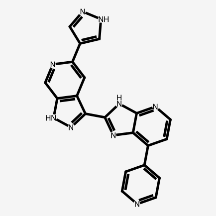 c1cc(-c2ccnc3[nH]c(-c4n[nH]c5cnc(-c6cn[nH]c6)cc45)nc23)ccn1